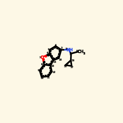 CC(Nc1ccc2oc3ccccc3c2c1)C1CC1